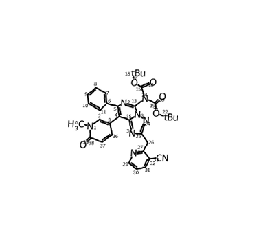 Cn1cc(-c2c(-c3ccccc3)nc(N(C(=O)OC(C)(C)C)C(=O)OC(C)(C)C)n3nc(Cc4ncccc4C#N)nc23)ccc1=O